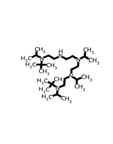 CC(C)N(CCNCCN(C(C)C)C(C)(C)C)CCN(CCN(C(C)C)C(C)(C)C)C(C)C